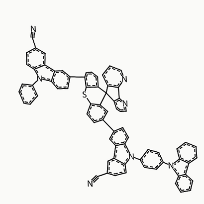 N#Cc1ccc2c(c1)c1cc(-c3ccc4c(c3)C3(c5cccnc5-c5ncccc53)c3cccc(-c5ccc6c(c5)c5cc(C#N)ccc5n6-c5ccccc5)c3S4)ccc1n2-c1ccc(-n2c3ccccc3c3ccccc32)cc1